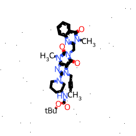 CC#CCn1c(N2CCCC(NC(=O)OC(C)(C)C)C2)nc2c1c(=O)n(Cc1nc3ccccc3c(=O)n1C)c(=O)n2C